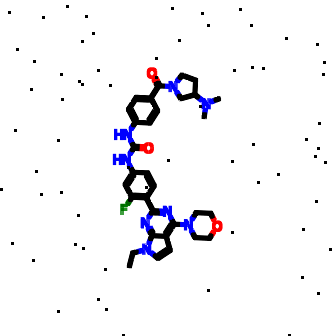 CCn1ccc2c(N3CCOCC3)nc(-c3ccc(NC(=O)Nc4ccc(C(=O)N5CCC(N(C)C)C5)cc4)cc3F)nc21